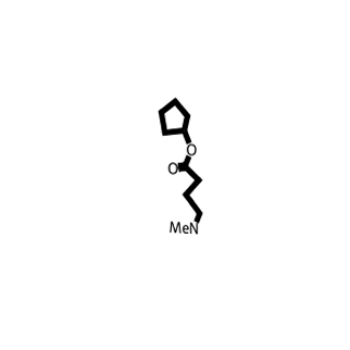 CNCCCC(=O)OC1CCCC1